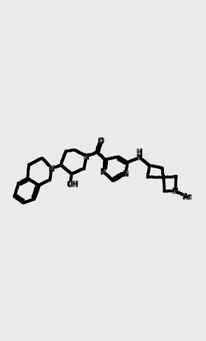 CC(=O)N1CC2(CC(Nc3cc(C(=O)N4CCC(N5CCc6ccccc6C5)C(O)C4)ncn3)C2)C1